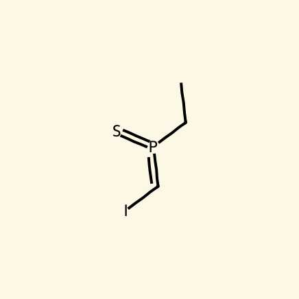 CCP(=S)=CI